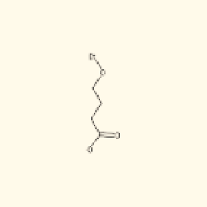 CCOCCCC([O])=O